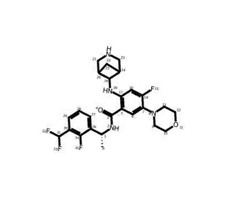 C[C@@H](NC(=O)c1cc(N2CCOCC2)c(F)cc1NC1C2CNCC1C2)c1cccc(C(F)F)c1F